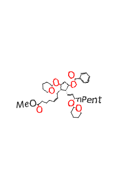 CCCCC[C@H](/C=C/[C@@H]1[C@@H](C/C=C\CCCC(=O)OC)[C@@H](OC2CCCCO2)C[C@H]1OC(=O)c1ccccc1)OC1CCCCO1